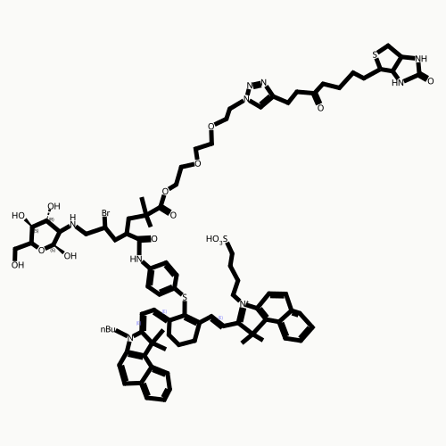 CCCCN1/C(=C/C=C2\CCCC(/C=C/C3=[N+](CCCCS(=O)(=O)O)c4ccc5ccccc5c4C3(C)C)=C2Sc2ccc(NC(=O)C(CC(Br)CNC3[C@@H](O)[C@H](O)C(CO)O[C@@H]3O)CC(C)(C)C(=O)OCCOCCOCCn3cc(CCC(=O)CCCCC4SCC5NC(=O)NC54)nn3)cc2)C(C)(C)c2c1ccc1ccccc21